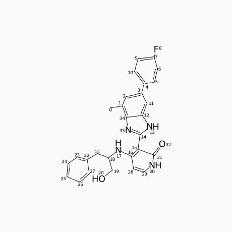 Cc1cc(-c2ccc(F)cc2)cc2[nH]c(-c3c(NC(CO)Cc4ccccc4)cc[nH]c3=O)nc12